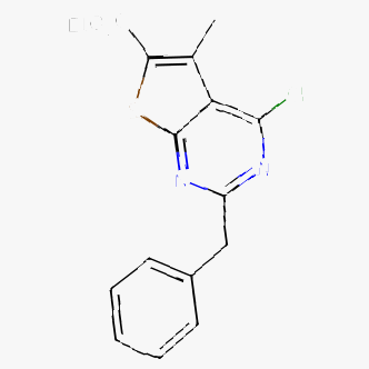 CCOC(=O)c1sc2nc(Cc3ccccc3)nc(Cl)c2c1C